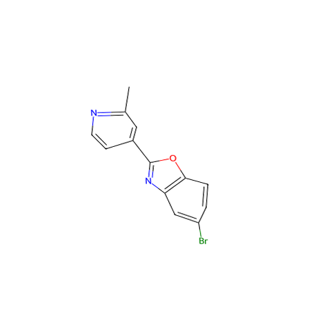 Cc1cc(-c2nc3cc(Br)ccc3o2)ccn1